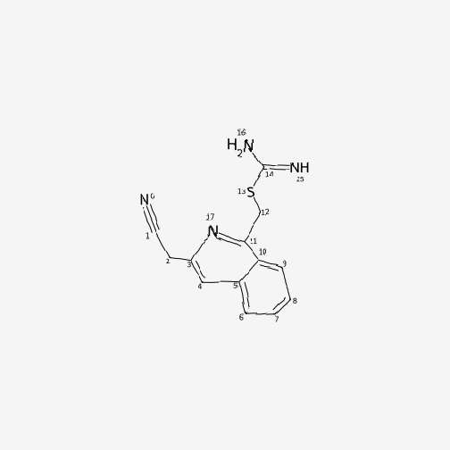 N#CCc1cc2ccccc2c(CSC(=N)N)n1